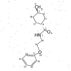 C[C@H]1CC[C@H](C(=O)NCCOc2ccccc2)CC1